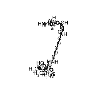 Cc1cc([C@H](C(=O)N2C[C@H](O)C[C@H]2C(=O)N[C@@H](CC(=O)NCCOCCOCCOCCOCCOCCNC(=O)CN2CCN(C(O)c3ccc(Nc4nc(C5CC5)cn5c(-c6cn[nH]c6)cnc45)c(F)c3)CC2)c2ccc(-c3scnc3C)cc2)C(C)C)on1